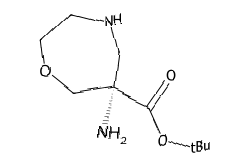 CC(C)(C)OC(=O)[C@]1(N)CNCCOC1